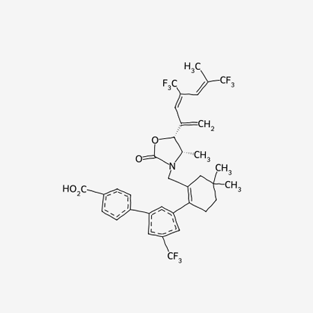 C=C(/C=C(\C=C(/C)C(F)(F)F)C(F)(F)F)[C@H]1OC(=O)N(CC2=C(c3cc(-c4ccc(C(=O)O)cc4)cc(C(F)(F)F)c3)CCC(C)(C)C2)[C@H]1C